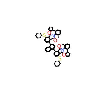 Cc1cccc(C2=CC=CC2)c1N1C(=O)c2c(SC3CCCCC3)ccc(-c3ccc(-c4ccc(SC5CCCCC5)c5c4C(=O)N(c4c(C)cccc4C4=CC=CC4)C5=O)c4ccccc34)c2C1=O